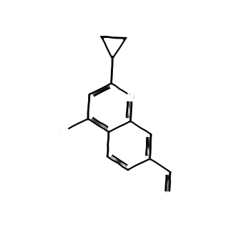 C=Cc1ccc2c(Cl)cc(C3CC3)nc2c1